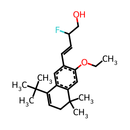 CCOc1cc2c(cc1C=CC(F)CO)C(C(C)(C)C)=CCC2(C)C